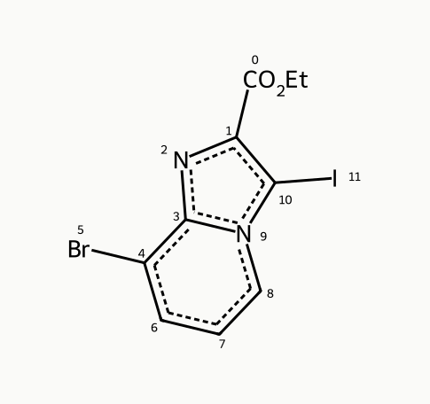 CCOC(=O)c1nc2c(Br)cccn2c1I